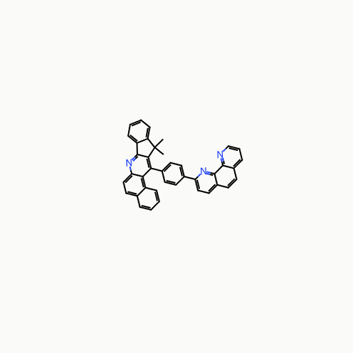 CC1(C)c2ccccc2-c2nc3ccc4ccccc4c3c(-c3ccc(-c4ccc5ccc6cccnc6c5n4)cc3)c21